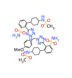 COc1ccc(Cn2nnc(-c3c(C4CCC(NS(C)(=O)=O)CC4)cccc3S(N)(=O)=O)n2)cc1.CS(=O)(=O)NC1CCC(c2cccc(S(N)(=O)=O)c2-c2nn[nH]n2)CC1